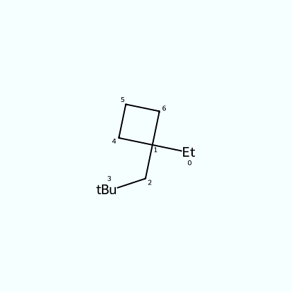 CCC1(CC(C)(C)C)CCC1